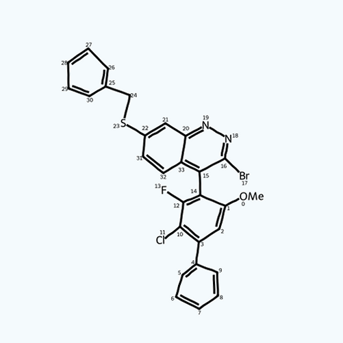 COc1cc(-c2ccccc2)c(Cl)c(F)c1-c1c(Br)nnc2cc(SCc3ccccc3)ccc12